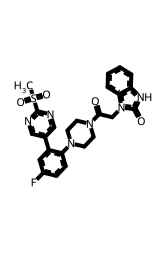 CS(=O)(=O)c1ncc(-c2cc(F)ccc2N2CCN(C(=O)Cn3c(=O)[nH]c4ccccc43)CC2)cn1